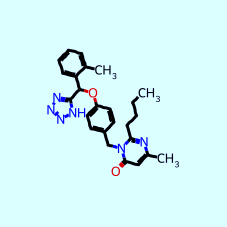 CCCCc1nc(C)cc(=O)n1Cc1ccc(OC(c2nnn[nH]2)c2ccccc2C)cc1